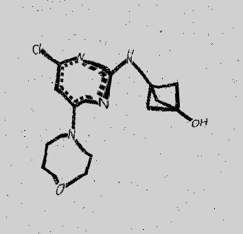 OC12CC(Nc3nc(Cl)cc(N4CCOCC4)n3)(C1)C2